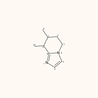 CC1CCn2ccnc2C1C